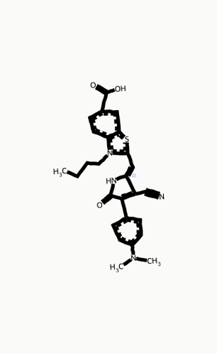 CCCC[n+]1c(/C=C2\NC(=O)C(c3ccc(N(C)C)cc3)=C2C#N)sc2cc(C(=O)O)ccc21